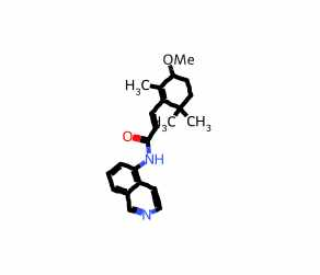 COC1CCC(C)(C)C(C=CC(=O)Nc2cccc3cnccc23)=C1C